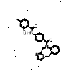 Cc1ccc(C(=O)Nc2ccc(C(=O)N3Cc4nccn4Cc4ccccc43)cc2)c(Cl)c1